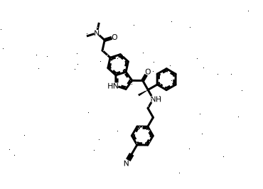 CN(C)C(=O)Cc1ccc2c(C(=O)[C@@](C)(NCCc3ccc(C#N)cc3)c3ccccc3)c[nH]c2c1